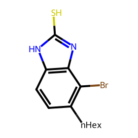 CCCCCCc1ccc2[nH]c(S)nc2c1Br